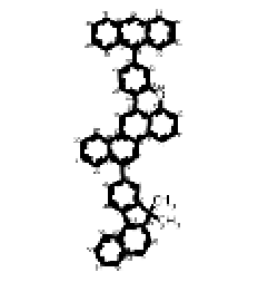 CC1(C)c2cc(-c3cc4c5cccc6c5c(cc4c4ccccc34)-c3ccc(-c4c5ccccc5cc5ccccc45)cc3O6)ccc2-c2c1ccc1ccccc21